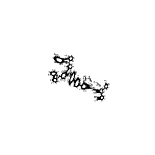 Cc1cc(-c2cc(-c3ccccc3)nc(-c3ccccc3)n2)ccc1-c1ccc(-c2ccc(-n3c4ccc(-n5c6ccccc6c6ccccc65)cc4c4cc(-n5c6ccccc6c6ccccc65)ccc43)cc2)cc1